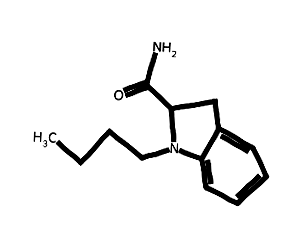 CCCCN1c2ccccc2CC1C(N)=O